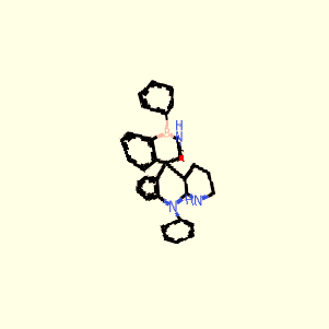 c1ccc(B2c3ccccc3C3(c4ccccc4N(c4ccccc4)C4NCCCC43)C3CCCNC23)cc1